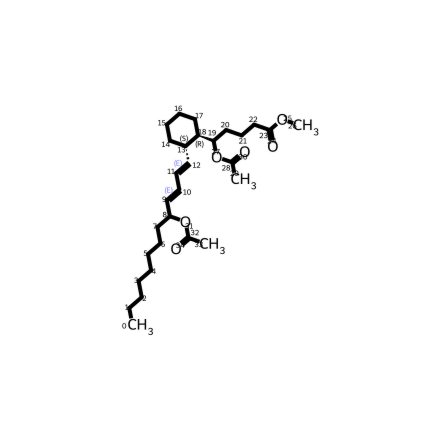 CCCCCCCCC(/C=C/C=C/[C@@H]1CCCC[C@H]1C(CCCC(=O)OC)OC(C)=O)OC(C)=O